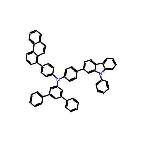 c1ccc(-c2cc(-c3ccccc3)cc(N(c3ccc(-c4ccc5c6ccccc6n(-c6ccccc6)c5c4)cc3)c3ccc(-c4cccc5c4ccc4ccccc45)cc3)c2)cc1